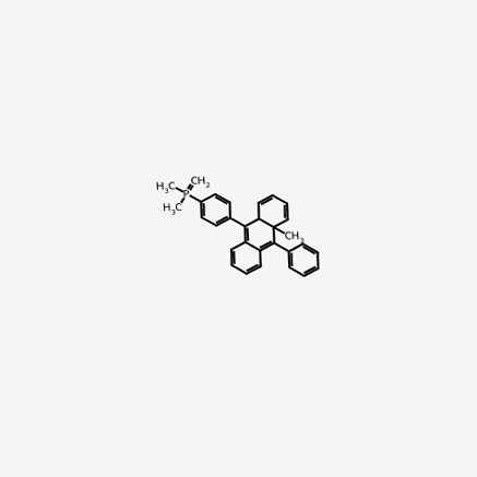 C=P(C)(C)c1ccc(C2=c3ccccc3=C(c3ccccc3)C3(C)C=CC=CC23)cc1